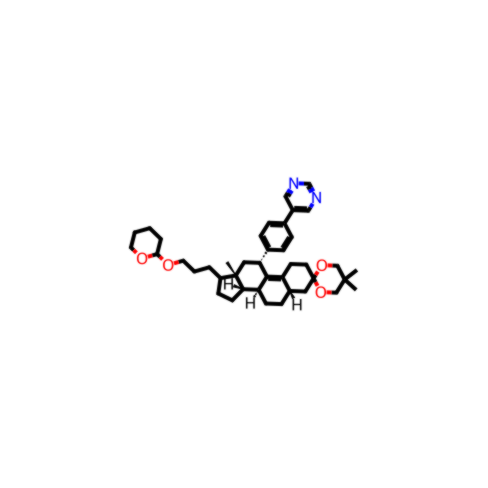 CC1(C)COC2(CCC3=C4[C@@H](CC[C@H]3C2)[C@@H]2CCC(CCCOC3CCCCO3)[C@]2(C)C[C@@H]4c2ccc(-c3cncnc3)cc2)OC1